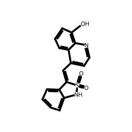 O=S1(=O)Nc2ccccc2C1=Cc1ccnc2c(O)cccc12